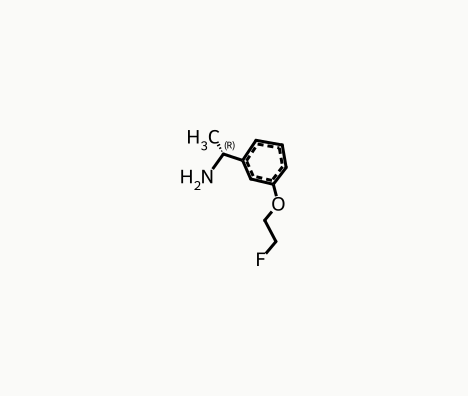 C[C@@H](N)c1cccc(OCCF)c1